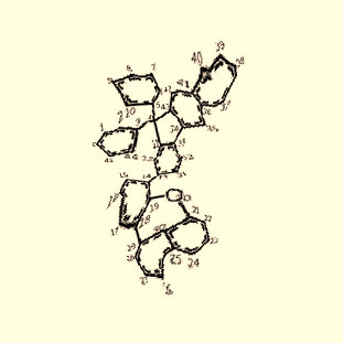 c1ccc(C2(c3ccccc3)c3cc(-c4cccc5c4Oc4cccc6cccc-5c46)ccc3-c3cc4ccccc4cc32)cc1